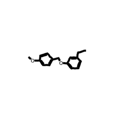 CCc1cccc(OCc2ccc(OC)cc2)c1